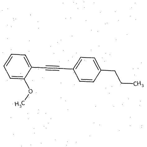 CCCc1ccc(C#Cc2ccccc2OC)cc1